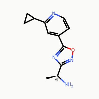 C[C@H](N)c1noc(-c2ccnc(C3CC3)c2)n1